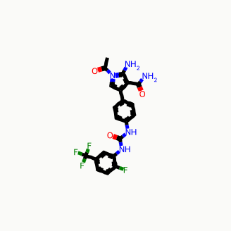 CC(=O)n1cc(-c2ccc(NC(=O)Nc3cc(C(F)(F)F)ccc3F)cc2)c(C(N)=O)c1N